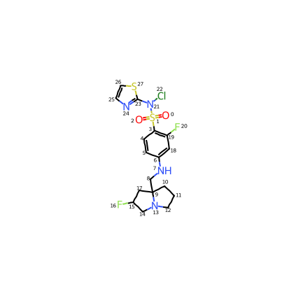 O=S(=O)(c1ccc(NCC23CCCN2CC(F)C3)cc1F)N(Cl)c1nccs1